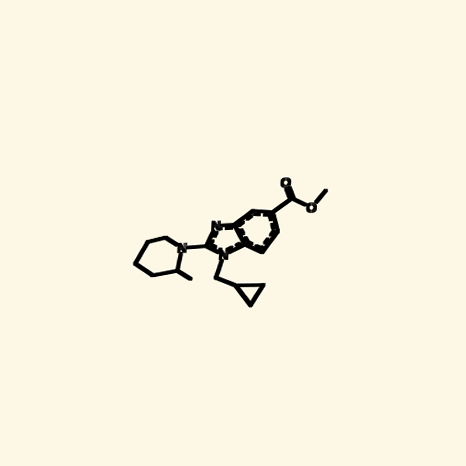 COC(=O)c1ccc2c(c1)nc(N1CCCCC1C)n2CC1CC1